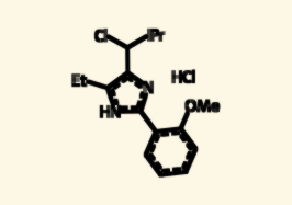 CCc1[nH]c(-c2ccccc2OC)nc1C(Cl)C(C)C.Cl